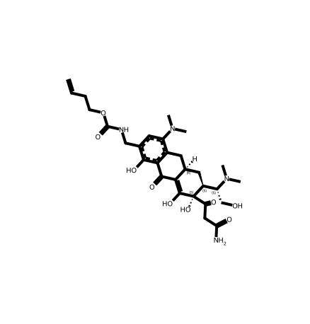 C=CCCOC(=O)NCc1cc(N(C)C)c2c(c1O)C(=O)C1=C(O)[C@](O)(C(=O)CC(N)=O)[C@H]([C@@H](CO)N(C)C)C[C@@H]1C2